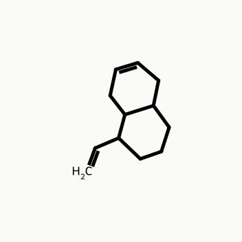 C=CC1CCCC2CC=CCC12